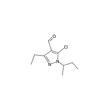 CCc1nn(C(C)CC)c(Cl)c1C=O